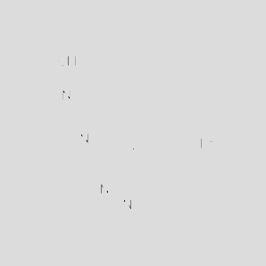 CCC1CCC1c1nnc(N2CCN(C)C2=O)s1